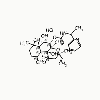 C=C[C@@]1(C)CC(=O)[C@]2(O)[C@@]3(C)[C@@H](O)CCC(C)(C)[C@@H]3[C@H](O)[C@H](OC(=O)NC(C)c3ccccn3)[C@@]2(C)O1.Cl